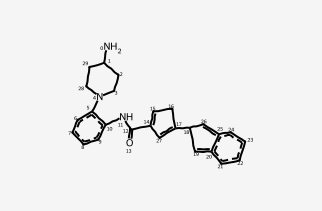 NC1CCN(c2ccccc2NC(=O)C2=CCC(C3C=c4ccccc4=C3)=C2)CC1